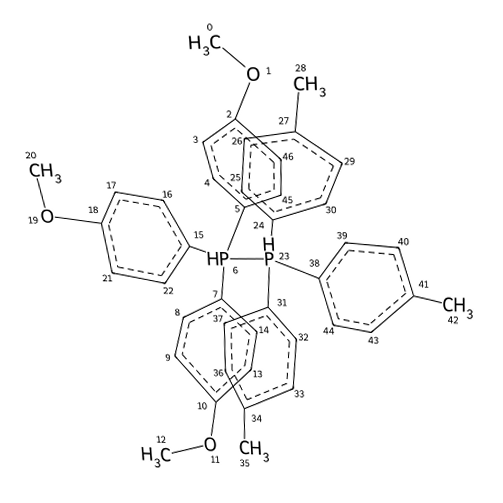 COc1ccc([PH](c2ccc(OC)cc2)(c2ccc(OC)cc2)[PH](c2ccc(C)cc2)(c2ccc(C)cc2)c2ccc(C)cc2)cc1